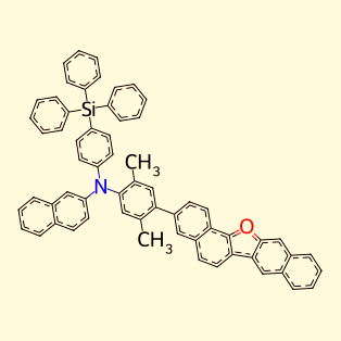 Cc1cc(N(c2ccc([Si](c3ccccc3)(c3ccccc3)c3ccccc3)cc2)c2ccc3ccccc3c2)c(C)cc1-c1ccc2c(ccc3c4cc5ccccc5cc4oc23)c1